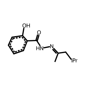 C/C(CC(C)C)=N\NC(=O)c1ccccc1O